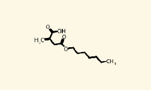 C=C(CC(=O)OCCCCCCC)C(=O)O